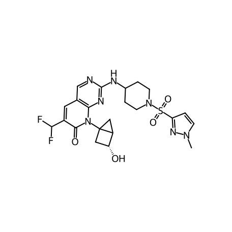 Cn1ccc(S(=O)(=O)N2CCC(Nc3ncc4cc(C(F)F)c(=O)n(C56CC5[C@H](O)C6)c4n3)CC2)n1